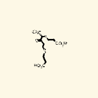 O=[C]C(SCCC(=O)O)C(=O)CCSCCC(=O)O